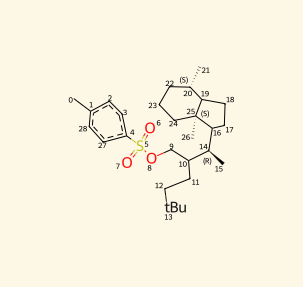 Cc1ccc(S(=O)(=O)OCC(CCC(C)(C)C)[C@H](C)C2CCC3[C@@H](C)CCC[C@]23C)cc1